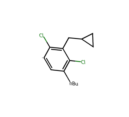 CCCCc1c[c]c(Cl)c(CC2CC2)c1Cl